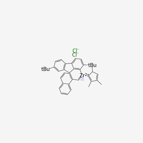 CC1=CC(C)[C](/[Zr+2](=[CH]/c2cccc3ccccc23)[c]2c(C(C)(C)C)ccc3c2Cc2cc(C(C)(C)C)ccc2-3)=C1C.[Cl-].[Cl-]